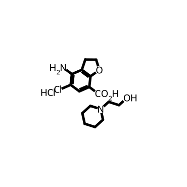 Cl.Nc1c(Cl)cc(C(=O)O)c2c1CCO2.OCCN1CCCCC1